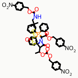 CC(OC(=O)OCc1ccc([N+](=O)[O-])cc1)C1C(=O)N(C(C(=O)OCc2ccc([N+](=O)[O-])cc2)=P(c2ccccc2)(c2ccccc2)c2ccccc2)C1SC(=O)SSCC(C)(C)CNC(=O)OCc1ccc([N+](=O)[O-])cc1